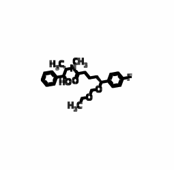 CCOCO[C@@H](CCCC(=O)N(C)[C@@H](C)C(O)c1ccccc1)c1ccc(F)cc1